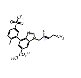 Cc1ccc(S(=O)(=O)C(F)(F)F)cc1-c1cc(C(=O)O)cc2c1ncn2C/C(F)=C/CN.Cl